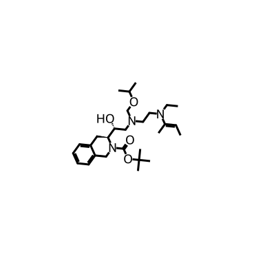 C/C=C(\C)N(CC)CCN(COC(C)C)C[C@@H](O)[C@@H]1Cc2ccccc2CN1C(=O)OC(C)(C)C